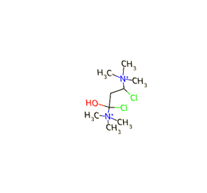 C[N+](C)(C)C(Cl)CC(O)(Cl)[N+](C)(C)C